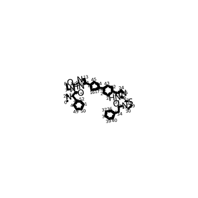 CN(C)[C@@H](C(=O)N1CCO[C@H]1c1ncc(-c2ccc(-c3ccc(-c4cnc([C@@H]5SCCN5C(=O)Cc5ccccc5)[nH]4)cc3)cc2)[nH]1)c1ccccc1